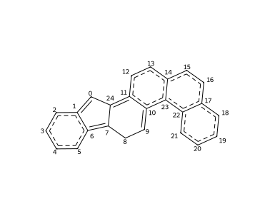 C1=c2ccccc2=C2CC=c3c(ccc4ccc5ccccc5c34)=C12